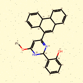 CC(C)OC1=CC(C2=CC3C=CC=CC3C3C=CC=CC23)=NC(c2ccccc2O)N1